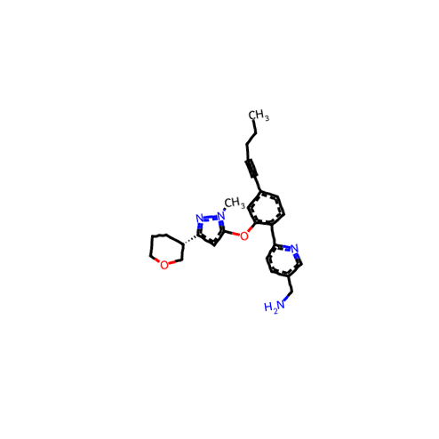 CCCC#Cc1ccc(-c2ccc(CN)cn2)c(Oc2cc([C@H]3CCCOC3)nn2C)c1